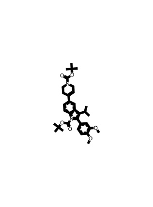 COc1ccc(-c2c(C(C)C)c3cc(C4=CCN(C(=O)OC(C)(C)C)CC4)ccc3n2C(=O)OC(C)(C)C)cc1OC